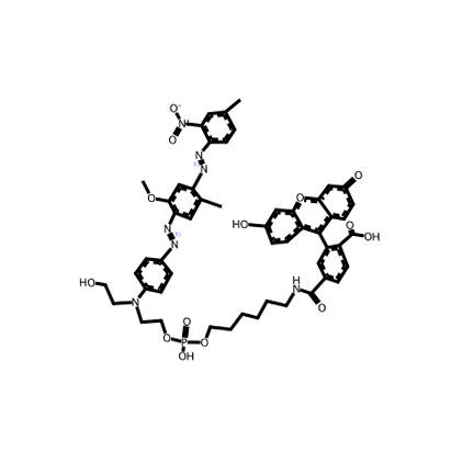 COc1cc(/N=N/c2ccc(C)cc2[N+](=O)[O-])c(C)cc1/N=N/c1ccc(N(CCO)CCOP(=O)(O)OCCCCCCNC(=O)c2ccc(C(=O)O)c(-c3c4ccc(=O)cc-4oc4cc(O)ccc34)c2)cc1